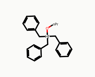 CCC[O][Hf]([CH2]c1ccccc1)([CH2]c1ccccc1)[CH2]c1ccccc1